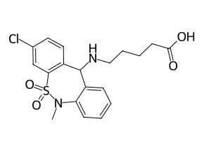 CN1c2ccccc2C(NCCCCC(=O)O)c2ccc(Cl)cc2S1(=O)=O